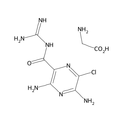 N=C(N)NC(=O)c1nc(Cl)c(N)nc1N.NCC(=O)O